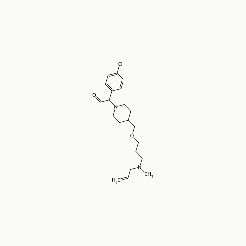 C=CCN(C)CCCOCC1CCN(C(C=O)c2ccc(Cl)cc2)CC1